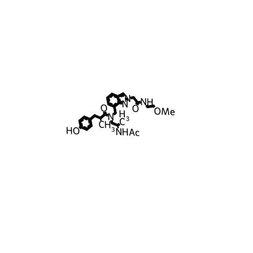 COCCNC(=O)Cn1cc2cccc(CN(C[C@@H](C)NC(C)=O)C(=O)[C@@H](C)Cc3ccc(O)cc3)c2n1